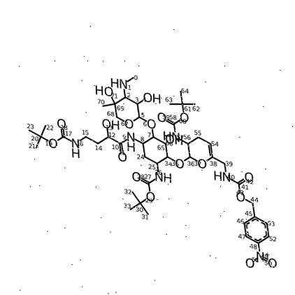 CNC1C(O)C(OC2C(NC(=O)C(O)CCNC(=O)OC(C)(C)C)CC(NC(=O)OC(C)(C)C)C(OC3OC(CNC(=O)OCc4ccc([N+](=O)[O-])cc4)=CCC3NC(=O)OC(C)(C)C)C2O)OCC1(C)O